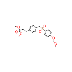 COCOc1ccc(S(=O)(=O)Cc2ccc(CC[Si](OC)(OC)OC)cc2)cc1